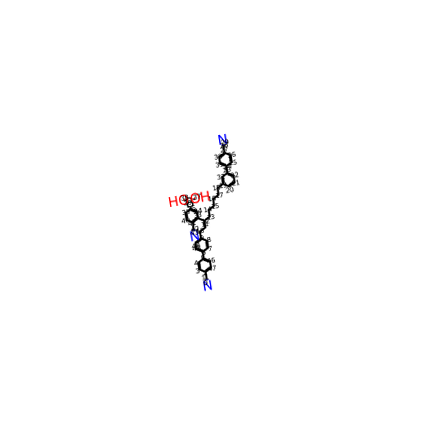 N#Cc1ccc(-c2ccc(CCC(CCCCCCc3cccc(-c4ccc(C#N)cc4)c3)c3cc(B(O)O)ccc3C#N)cc2)cc1